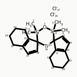 C[Si]1(C)O[Si](C)(C)[C]2(C=CC3=C2CCCC3)[Ti+2][C]12C=CC1=C2CCCC1.[Cl-].[Cl-]